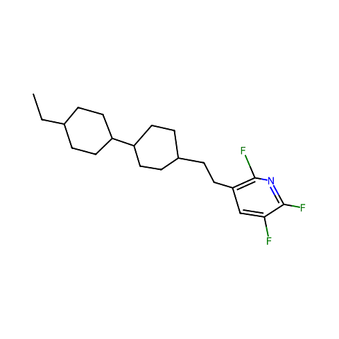 CCC1CCC(C2CCC(CCc3cc(F)c(F)nc3F)CC2)CC1